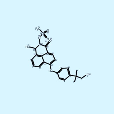 CC(C)(C)CC(C)(C)c1ccc(Oc2ccc3c4c(cccc24)C(O)N(OS(=O)(=O)C(F)(F)F)C3=O)cc1